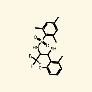 Cc1cc(C)c(S(=O)(=O)NC(C(S)c2c(C)cccc2Cl)C(F)(F)F)c(C)c1